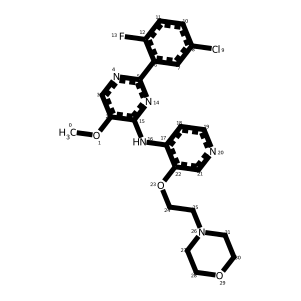 COc1cnc(-c2cc(Cl)ccc2F)nc1Nc1ccncc1OCCN1CCOCC1